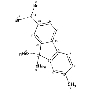 CCCCCCC1(CCCCCC)c2cc(C)ccc2-c2ccc(C(Br)Br)cc21